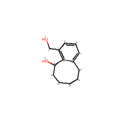 OCc1cccc2c1C(O)CCCCC2